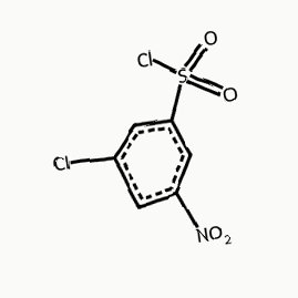 O=[N+]([O-])c1cc(Cl)cc(S(=O)(=O)Cl)c1